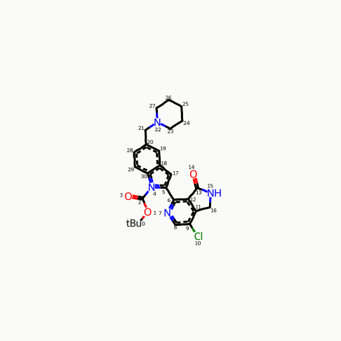 CC(C)(C)OC(=O)n1c(-c2ncc(Cl)c3c2C(=O)NC3)cc2cc(CN3CCCCC3)ccc21